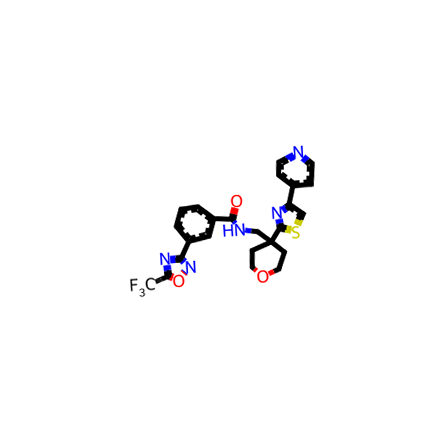 O=C(NCC1(c2nc(-c3ccncc3)cs2)CCOCC1)c1cccc(-c2noc(C(F)(F)F)n2)c1